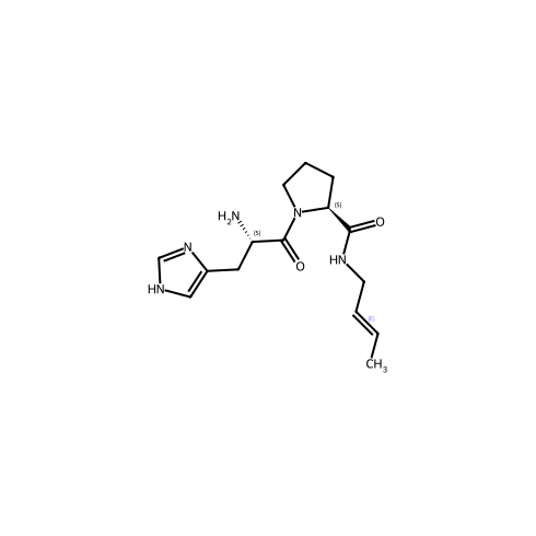 C/C=C/CNC(=O)[C@@H]1CCCN1C(=O)[C@@H](N)Cc1c[nH]cn1